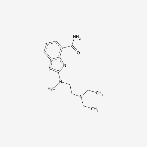 CCN(CC)CCN(C)c1nc2c(C(N)=O)c[c]cc2s1